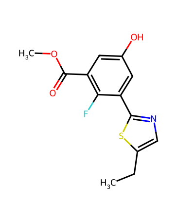 CCc1cnc(-c2cc(O)cc(C(=O)OC)c2F)s1